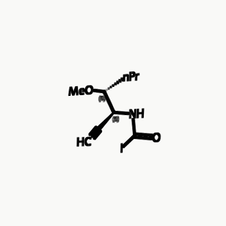 C#C[C@H](NC(=O)I)[C@@H](CCC)OC